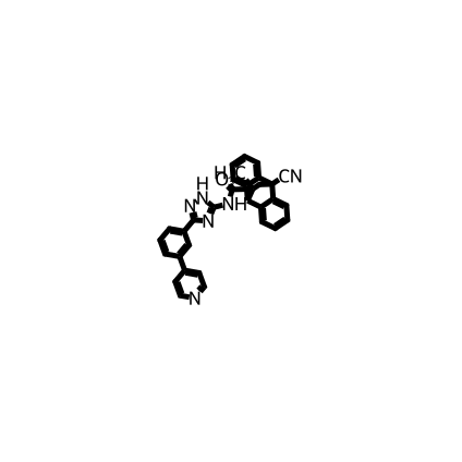 CC1(C(=O)Nc2nc(-c3cccc(-c4ccncc4)c3)n[nH]2)CC2(C#N)c3ccccc3C1c1ccccc12